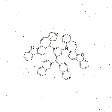 C1=Cc2c(ccc3c2oc2ccccc23)N(c2cc(N(c3ccc4ccccc4c3)c3ccc4ccccc4c3)cc(N3c4ccccc4C=Cc4c3ccc3c4oc4ccccc43)c2)c2ccccc21